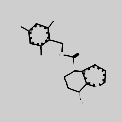 O=C(NCc1c(F)cc(Cl)cc1Cl)[C@@H]1CC[C@H](O)c2ncccc21